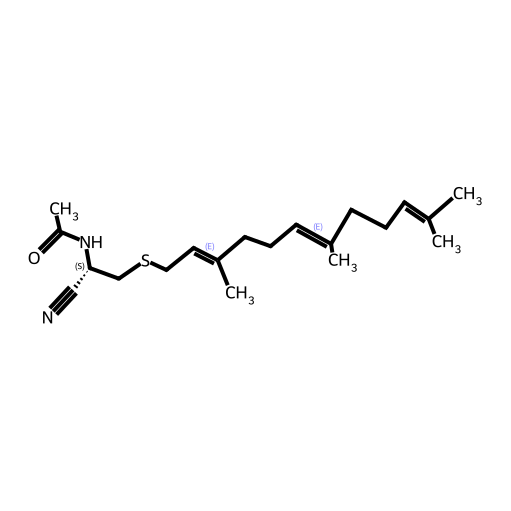 CC(=O)N[C@@H](C#N)CSC/C=C(\C)CC/C=C(\C)CCC=C(C)C